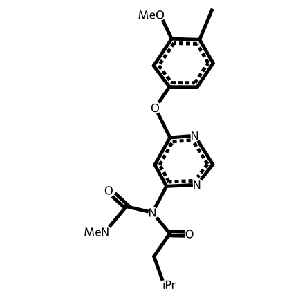 CNC(=O)N(C(=O)CC(C)C)c1cc(Oc2ccc(C)c(OC)c2)ncn1